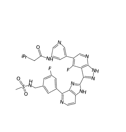 CC(C)CC(=O)Nc1cncc(-c2cnc3[nH]nc(-c4nc5c(-c6cc(F)cc(CNS(C)(=O)=O)c6)nccc5[nH]4)c3c2F)c1